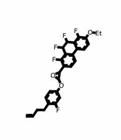 C=CCCc1ccc(OC2OC2c2ccc3c(c2F)C(F)C(F)c2c-3ccc(OCC)c2F)cc1F